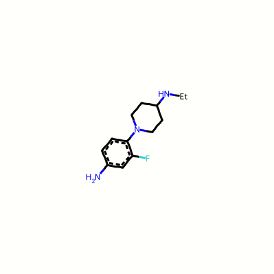 CCNC1CCN(c2ccc(N)cc2F)CC1